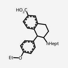 CCCCCCCC1CCc2cc(C(=O)O)ccc2C1c1ccc(OCC)cc1